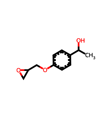 CC(O)c1ccc(OCC2CO2)cc1